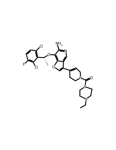 CCN1CCN(C(=O)N2CC=C(c3coc4c(O[C@H](C)c5c(Cl)ccc(F)c5Cl)c(N)ncc34)CC2)CC1